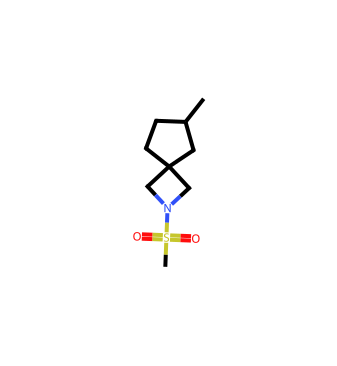 CC1CCC2(C1)CN(S(C)(=O)=O)C2